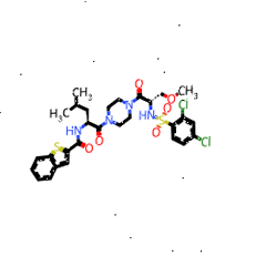 COC[C@H](NS(=O)(=O)c1ccc(Cl)cc1Cl)C(=O)N1CCN(C(=O)[C@H](CC(C)C)NC(=O)c2cc3ccccc3s2)CC1